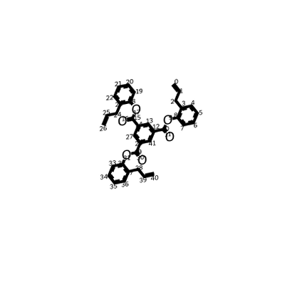 C=CCc1ccccc1OC(=O)c1cc(C(=O)Oc2ccccc2CC=C)cc(C(=O)Oc2ccccc2CC=C)c1